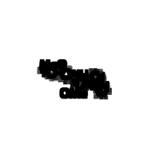 COc1cc(Nc2ncc(OC)c(Nc3cccnc3-c3ccccn3)n2)ccc1C1CCN(C)CC1